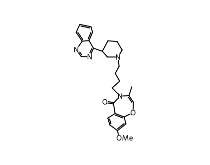 COc1ccc2c(c1)OC=C(C)N(CCCCN1CCCC(c3ncnc4ccccc34)C1)C2=O